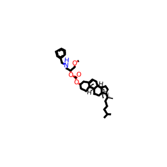 COCC(CNCc1ccccc1)OC(=O)OC1CC[C@]2(C)C(=CC[C@@H]3[C@H]4CC[C@@H]([C@@H](C)CCCC(C)C)[C@]4(C)CC[C@H]32)C1